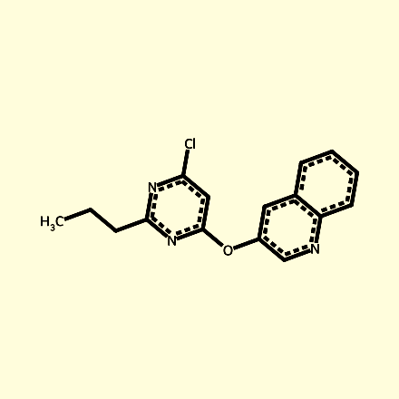 CCCc1nc(Cl)cc(Oc2cnc3ccccc3c2)n1